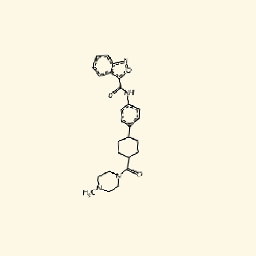 CN1CCN(C(=O)C2CCC(c3ccc(NC(=O)c4onc5ccccc45)cc3)CC2)CC1